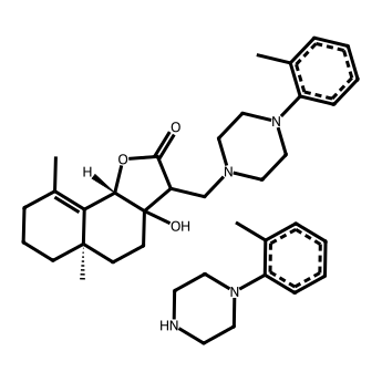 CC1=C2[C@@H]3OC(=O)C(CN4CCN(c5ccccc5C)CC4)C3(O)CC[C@@]2(C)CCC1.Cc1ccccc1N1CCNCC1